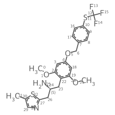 COc1cc(OCc2ccc(SC(F)(F)F)cc2)cc(OC)c1C[C@H](N)Cc1ncc(C)s1